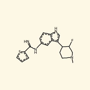 CN1CCC(c2c[nH]c3ccc(NC(=N)c4cccs4)cc23)C(F)C1